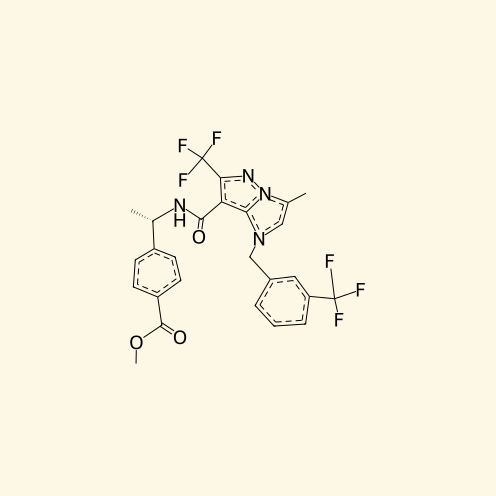 COC(=O)c1ccc([C@H](C)NC(=O)c2c(C(F)(F)F)nn3c(C)cn(Cc4cccc(C(F)(F)F)c4)c23)cc1